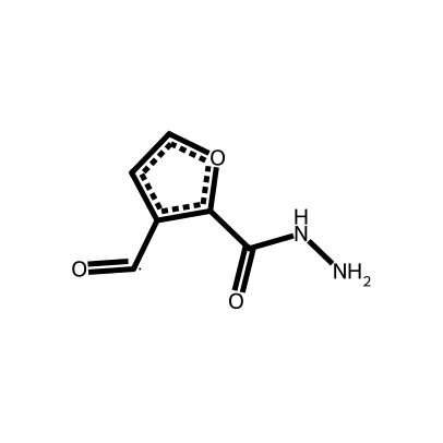 NNC(=O)c1occc1[C]=O